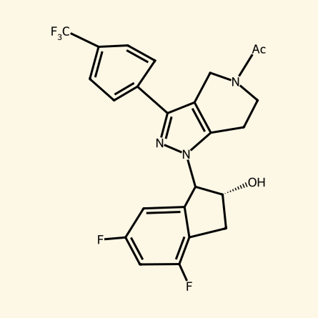 CC(=O)N1CCc2c(c(-c3ccc(C(F)(F)F)cc3)nn2C2c3cc(F)cc(F)c3C[C@H]2O)C1